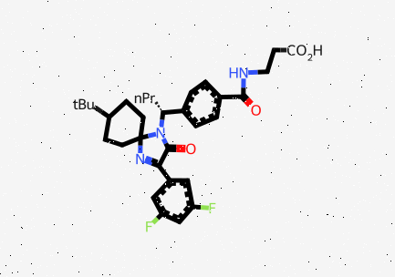 CCC[C@H](c1ccc(C(=O)NCCC(=O)O)cc1)N1C(=O)C(c2cc(F)cc(F)c2)=NC12CCC(C(C)(C)C)CC2